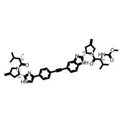 C=C1C[C@@H](c2nc(-c3ccc(C#Cc4ccc5[nH]c([C@@H]6CC(=C)CN6C(=O)[C@@H](NC(=O)OC)C(C)C)nc5c4)cc3)c[nH]2)N(C(=O)[C@@H](C)C(C)C)C1